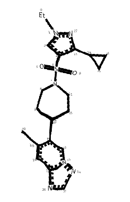 CCn1cc(S(=O)(=O)N2CCC(c3cn4ncnc4cc3C)CC2)c(C2CC2)n1